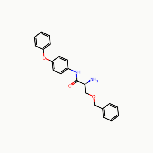 N[C@@H](COCc1ccccc1)C(=O)Nc1ccc(Oc2ccccc2)cc1